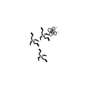 C=CC[N+](CC)(CC)CC=C.C=CC[N+](CC)(CC)CC=C.C=CC[N+](CC)(CC)CC=C.O=P([O-])([O-])[O-]